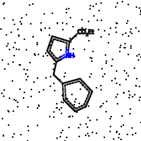 CCOC(=O)c1ccc(Cc2ccccc2)[nH]1